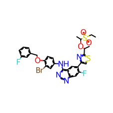 CCS(=O)(=O)C(C)OC(C)c1nc(-c2cc3c(Nc4ccc(OCc5cccc(F)c5)c(Br)c4)ncnc3cc2F)cs1